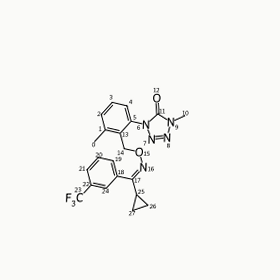 Cc1cccc(-n2nnn(C)c2=O)c1CO/N=C(\c1cccc(C(F)(F)F)c1)C1CC1